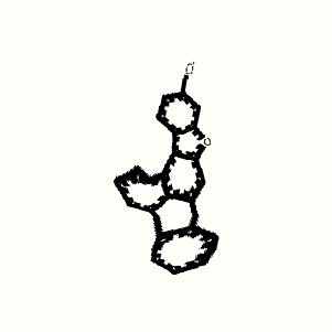 Clc1ccc2c(c1)oc1cc3c4c(cccc4c12)-c1ccccc1-3